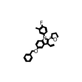 C=Cc1c([C@H]2CCCO2)n(-c2ccc(F)c(C)c2)c2ccc(OCc3ccccc3)cc12